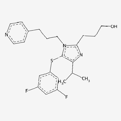 CC(C)c1nc(CCCO)n(CCCc2ccncc2)c1Sc1cc(F)cc(F)c1